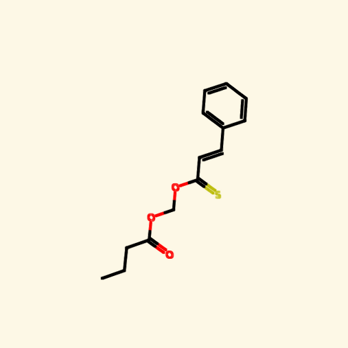 CCCC(=O)OCOC(=S)/C=C/c1ccccc1